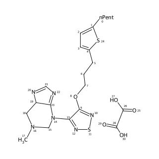 CCCCCc1ccc(CCCOc2nsnc2N2CN(C)CC3N=CN=C32)s1.O=C(O)C(=O)O